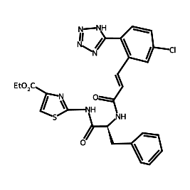 CCOC(=O)c1csc(NC(=O)[C@H](Cc2ccccc2)NC(=O)/C=C/c2cc(Cl)ccc2-c2nnn[nH]2)n1